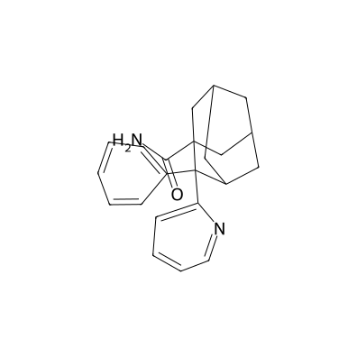 NC(=O)C12CC3CC(CC(C3)C1(c1ccccc1)c1ccccn1)C2